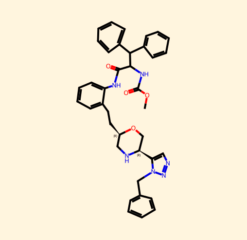 COC(=O)NC(C(=O)Nc1ccccc1CC[C@@H]1CN[C@H](c2cnnn2Cc2ccccc2)CO1)C(c1ccccc1)c1ccccc1